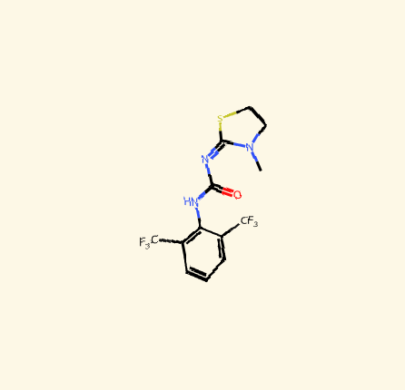 CN1CCSC1=NC(=O)Nc1c(C(F)(F)F)cccc1C(F)(F)F